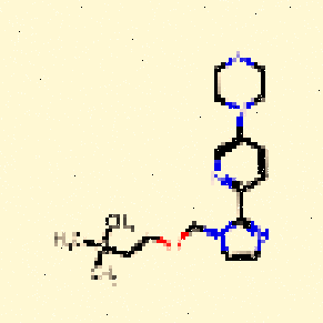 C[Si](C)(C)CCOCn1ccnc1-c1ccc(N2CCNCC2)cn1